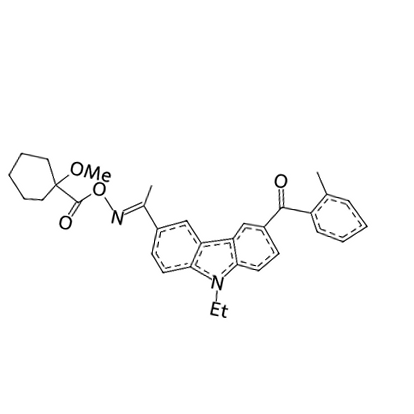 CCn1c2ccc(C(=O)c3ccccc3C)cc2c2cc(/C(C)=N/OC(=O)C3(OC)CCCCC3)ccc21